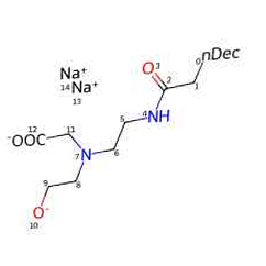 CCCCCCCCCCCC(=O)NCCN(CC[O-])CC(=O)[O-].[Na+].[Na+]